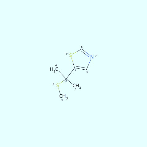 CSC(C)(C)c1cncs1